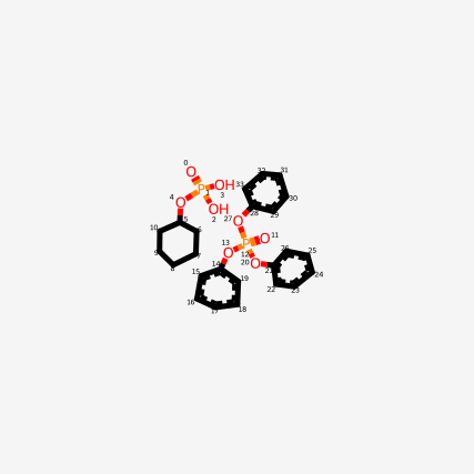 O=P(O)(O)OC1CCCCC1.O=P(Oc1ccccc1)(Oc1ccccc1)Oc1ccccc1